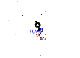 Cc1ccc(-c2ncn(C(=O)OC(C)(C)C)c2N)cc1